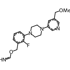 COCc1cncc(N2CCN(c3cccc(COC=N)c3F)CC2)c1